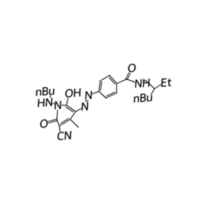 CCCCNn1c(O)c(/N=N/c2ccc(C(=O)NCC(CC)CCCC)cc2)c(C)c(C#N)c1=O